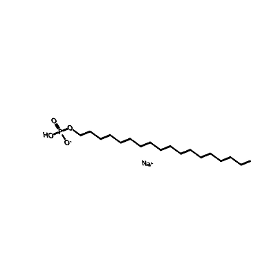 CCCCCCCCCCCCCCCCCCOP(=O)([O-])O.[Na+]